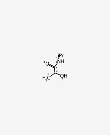 CC(C)NC(=O)C(O)C(F)(F)F